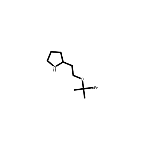 CCCC(C)(C)OCCC1CCCN1